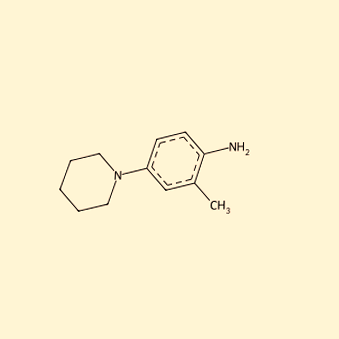 Cc1cc(N2CCCCC2)ccc1N